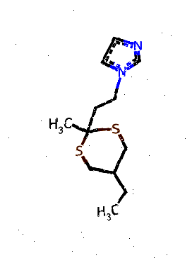 CCC1CSC(C)(CCn2ccnc2)SC1